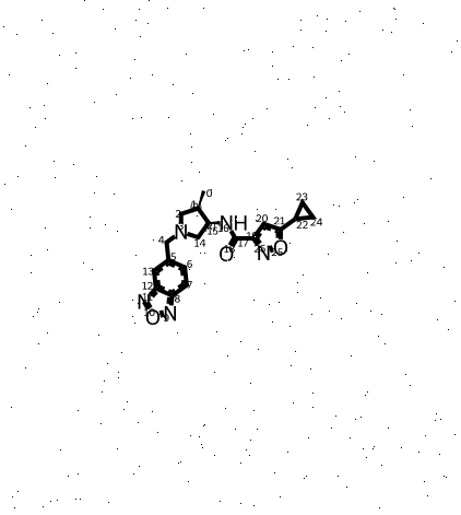 C[C@@H]1CN(Cc2ccc3nonc3c2)C[C@@H]1NC(=O)c1cc(C2CC2)on1